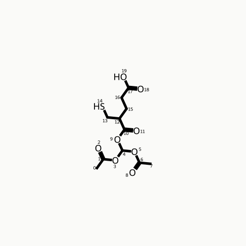 CC(=O)OC(OC(C)=O)OC(=O)C(CS)CCC(=O)O